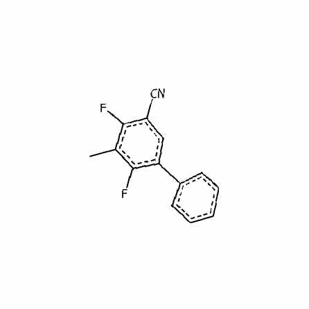 Cc1c(F)c(C#N)cc(-c2ccccc2)c1F